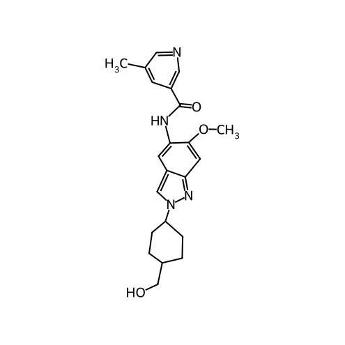 COc1cc2nn(C3CCC(CO)CC3)cc2cc1NC(=O)c1cncc(C)c1